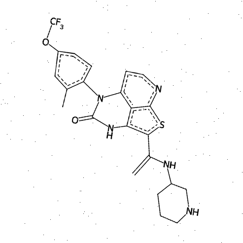 C=C(NC1CCCNC1)c1sc2nccc3c2c1NC(=O)N3c1ccc(OC(F)(F)F)cc1C